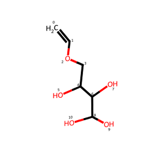 C=COCC(O)C(O)C(O)O